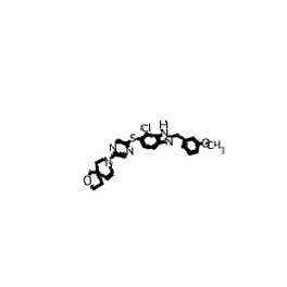 COc1cccc(Cc2nc3ccc(Sc4cnc(N5CCC6(CCOC6)CC5)cn4)c(Cl)c3[nH]2)c1